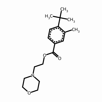 Cc1cc(C(=O)OCCN2CCOCC2)ccc1C(C)(C)C